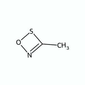 Cc1nos1